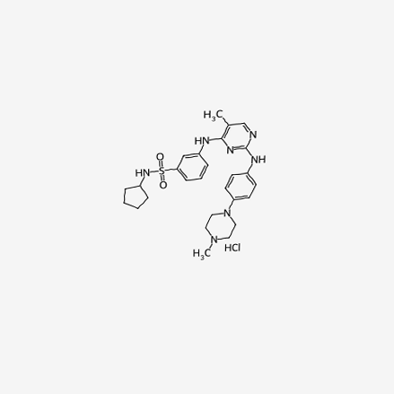 Cc1cnc(Nc2ccc(N3CCN(C)CC3)cc2)nc1Nc1cccc(S(=O)(=O)NC2CCCC2)c1.Cl